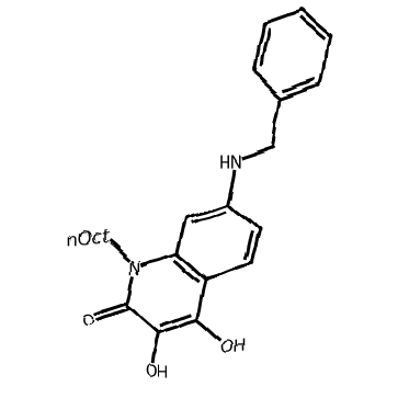 CCCCCCCCn1c(=O)c(O)c(O)c2ccc(NCc3ccccc3)cc21